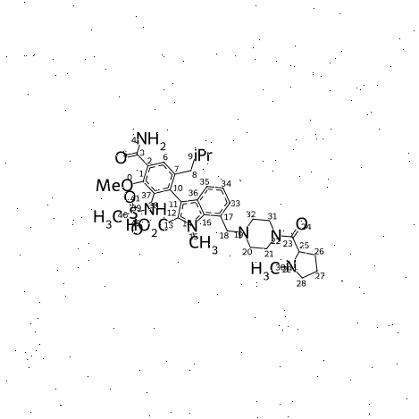 COc1c(C(N)=O)cc(CC(C)C)c(-c2c(C(=O)O)n(C)c3c(CN4CCN(C(=O)C5CCCN5C)CC4)cccc23)c1NS(C)(=O)=O